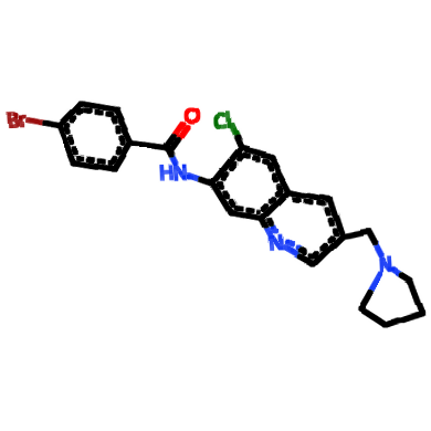 O=C(Nc1cc2ncc(CN3CCCC3)cc2cc1Cl)c1ccc(Br)cc1